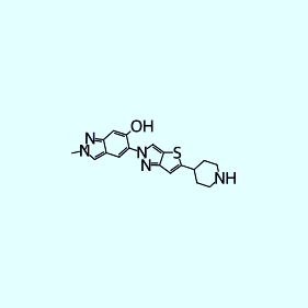 Cn1cc2cc(-n3cc4sc(C5CCNCC5)cc4n3)c(O)cc2n1